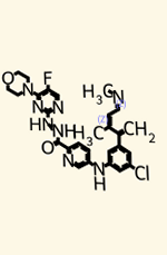 C=C(/C(C)=C\C=N/C)c1cc(Cl)cc(Nc2ccc(C(=O)NNc3ncc(F)c(N4CCOCC4)n3)nc2)c1